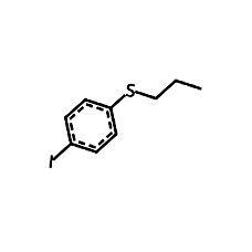 CCCSc1ccc(I)cc1